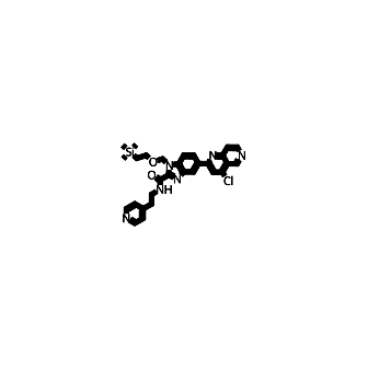 C[Si](C)(C)CCOCn1c(C(=O)NCCc2ccncc2)nc2cc(-c3cc(Cl)c4cnccc4n3)ccc21